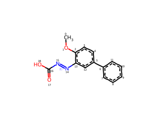 COc1ccc(-c2ccccc2)cc1/N=N/C(=O)O